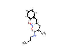 CCC[N]CC(C)CC(Cc1ccccc1)[N+](=O)[O-]